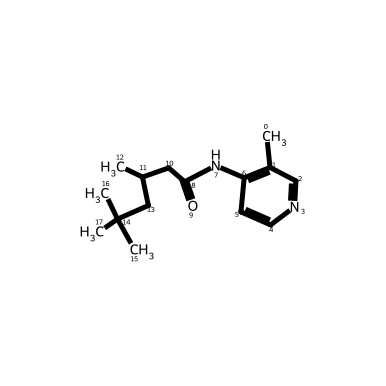 Cc1cnccc1NC(=O)CC(C)CC(C)(C)C